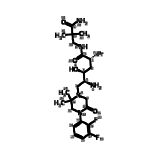 CC(C)[C@H](C[C@H](O)[C@@H](N)CN1CC(=O)N(c2cccc(F)c2F)CC1(C)C)C(=O)NCC(C)(C)C(N)=O